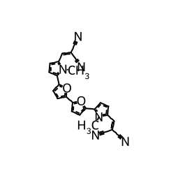 Cn1c(C=C(C#N)C#N)ccc1-c1ccc(-c2ccc(-c3ccc(C=C(C#N)C#N)n3C)o2)o1